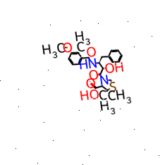 COc1cccc(C(=O)N[C@@H](Cc2ccccc2)[C@H](O)C(=O)N2CSC(C)(C)C2C(=O)O)c1C